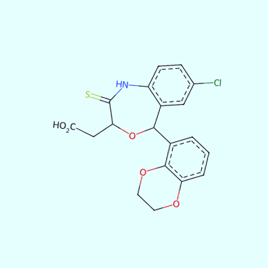 O=C(O)CC1OC(c2cccc3c2OCCO3)c2cc(Cl)ccc2NC1=S